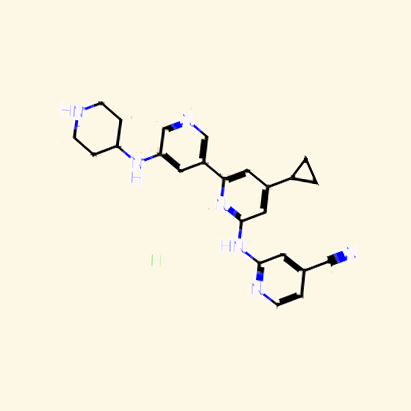 Cl.N#Cc1ccnc(Nc2cc(C3CC3)cc(-c3cncc(NC4CCNCC4)c3)n2)c1